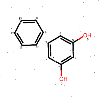 Oc1cccc(O)c1.c1ccccc1